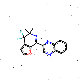 CC1(C)N=C(c2cnc3ccccc3n2)c2occc2C1(F)F